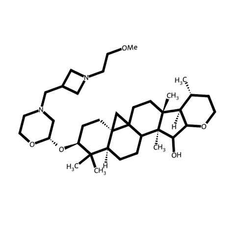 COCCN1CC(CN2CCO[C@@H](O[C@H]3CC[C@]45CC46CC[C@]4(C)[C@@H]7C(OCC[C@H]7C)C(O)[C@@]4(C)C6CC[C@H]5C3(C)C)C2)C1